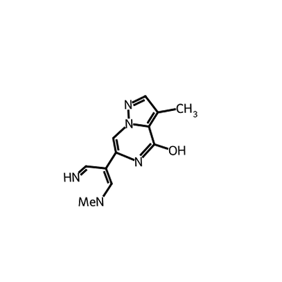 CN/C=C(\C=N)c1cn2ncc(C)c2c(O)n1